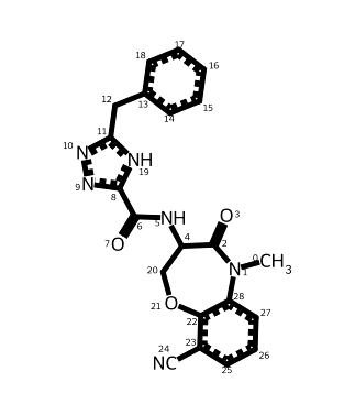 CN1C(=O)C(NC(=O)c2nnc(Cc3ccccc3)[nH]2)COc2c(C#N)cccc21